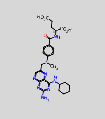 CN(Cc1cnc2nc(N)nc(NC3CCCCC3)c2n1)c1ccc(C(=O)N[C@@H](CCC(=O)O)C(=O)O)cc1